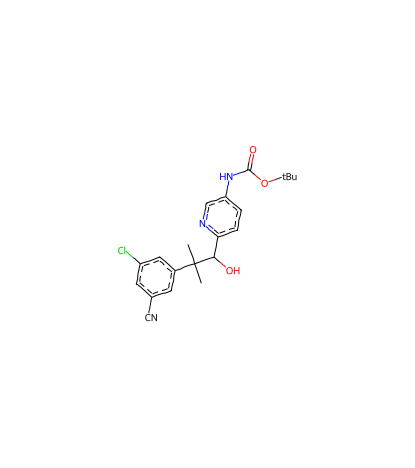 CC(C)(C)OC(=O)Nc1ccc(C(O)C(C)(C)c2cc(Cl)cc(C#N)c2)nc1